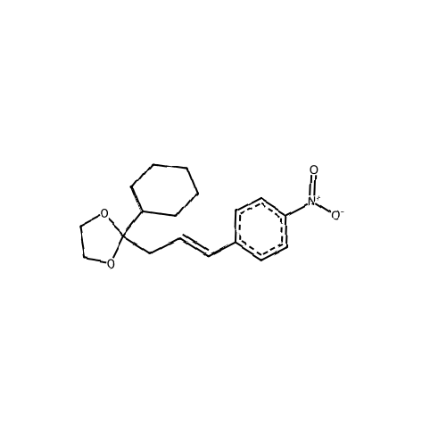 O=[N+]([O-])c1ccc(C=CCC2(C3CCCCC3)OCCO2)cc1